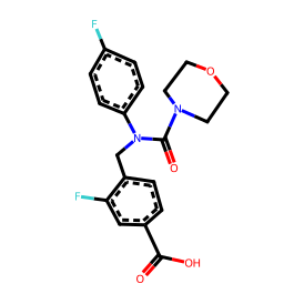 O=C(O)c1ccc(CN(C(=O)N2CCOCC2)c2ccc(F)cc2)c(F)c1